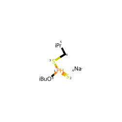 CC(C)CO[PH](=S)SCC(C)C.[Na]